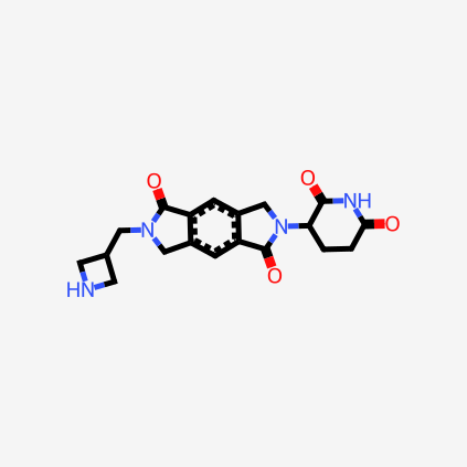 O=C1CCC(N2Cc3cc4c(cc3C2=O)CN(CC2CNC2)C4=O)C(=O)N1